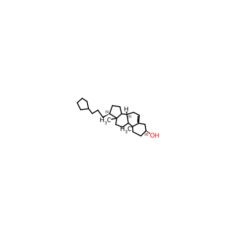 CC12CC[C@H](O)CC1=CC[C@@H]1C2CCC2(C)C1CC[C@@H]2CCCC1CCCC1